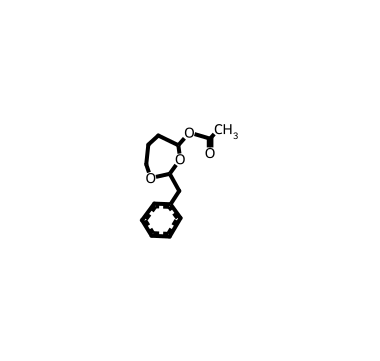 CC(=O)OC1CCCOC(Cc2ccccc2)O1